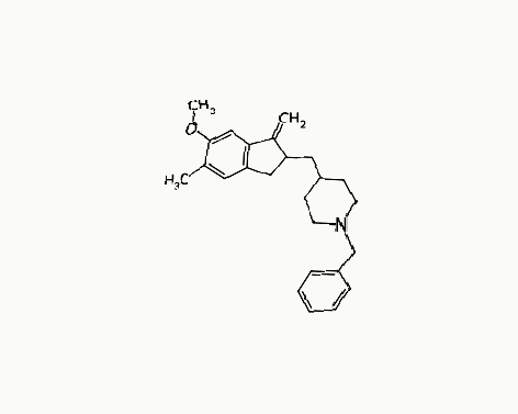 C=C1c2cc(OC)c(C)cc2CC1CC1CCN(Cc2ccccc2)CC1